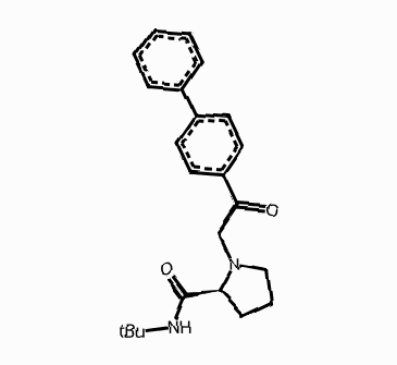 CC(C)(C)NC(=O)[C@@H]1CCCN1CC(=O)c1ccc(-c2ccccc2)cc1